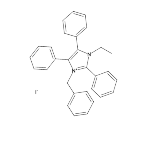 CCn1c(-c2ccccc2)c(-c2ccccc2)[n+](Cc2ccccc2)c1-c1ccccc1.[I-]